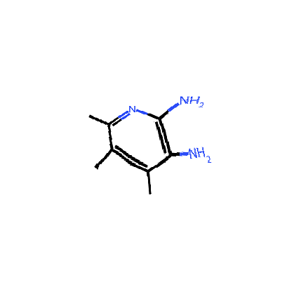 Cc1nc(N)c(N)c(C)c1C